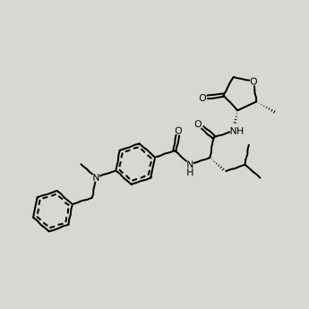 CC(C)C[C@H](NC(=O)c1ccc(N(C)Cc2ccccc2)cc1)C(=O)N[C@@H]1C(=O)CO[C@@H]1C